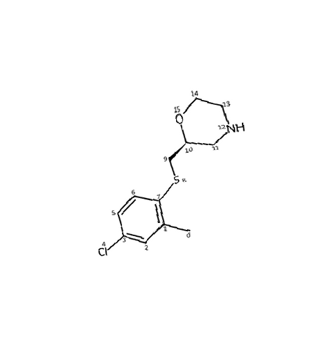 Cc1cc(Cl)ccc1SC[C@@H]1CNCCO1